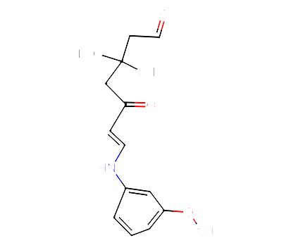 COc1cccc(N/C=C/C(=O)CC(C)(C)CC=O)c1